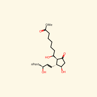 CCCCC[C@H](O)/C=C/[C@H]1[C@H](O)CC(=O)[C@@H]1C(O)CCCCCC(=O)OC